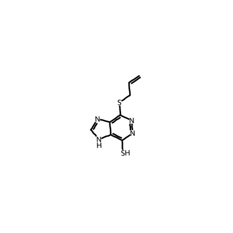 C=CCSc1nnc(S)c2[nH]cnc12